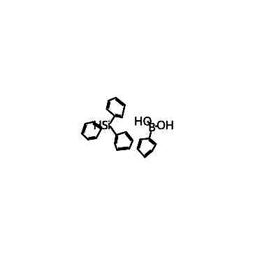 OB(O)c1ccccc1.c1ccc([SiH](c2ccccc2)c2ccccc2)cc1